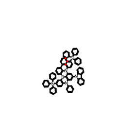 c1ccc(-c2cccc3c2N(c2ccc([Si](c4ccccc4)(c4ccccc4)c4ccccc4)cc2)c2cc(-n4c5ccccc5c5ccccc54)cc4c2B3c2cc([Si](c3ccccc3)(c3ccccc3)c3ccccc3)ccc2N4c2ccccc2)cc1